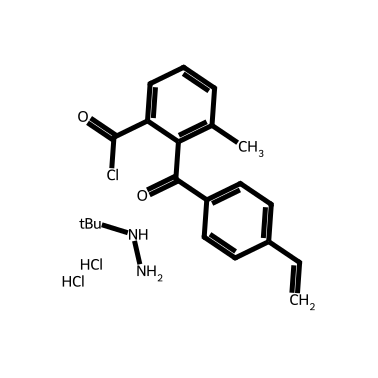 C=Cc1ccc(C(=O)c2c(C)cccc2C(=O)Cl)cc1.CC(C)(C)NN.Cl.Cl